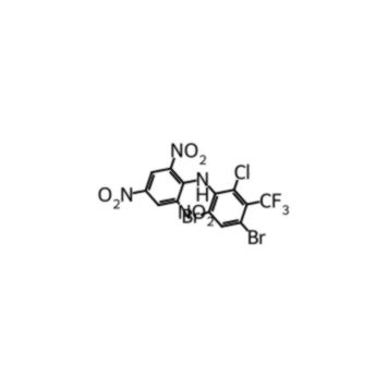 O=[N+]([O-])c1cc([N+](=O)[O-])c(Nc2c(Br)cc(Br)c(C(F)(F)F)c2Cl)c([N+](=O)[O-])c1